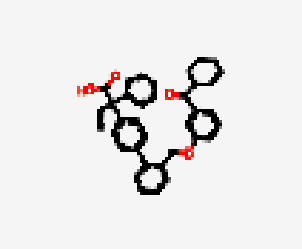 C=CC(C(=O)O)(c1ccccc1)c1ccc(-c2ccccc2COc2cccc(C(=O)C3C=CC=CC3)c2)cc1